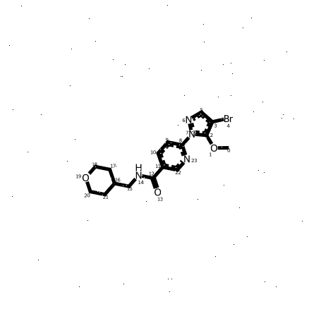 COc1c(Br)cnn1-c1ccc(C(=O)NCC2CCOCC2)cn1